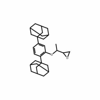 CC(Oc1cc(C23CC4CC(CC(C4)C2)C3)ccc1C12CC3CC(CC(C3)C1)C2)C1CO1